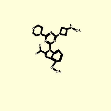 CNC1CN(c2nc(N3CCOCC3)nc(-n3c(C(F)F)nc4c(OC)cccc43)n2)C1